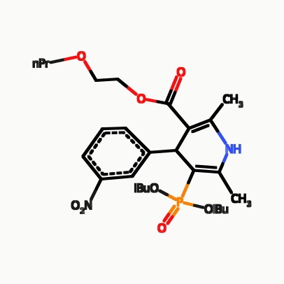 CCCOCCOC(=O)C1=C(C)NC(C)=C(P(=O)(OCC(C)C)OCC(C)C)C1c1cccc([N+](=O)[O-])c1